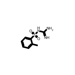 Cc1ccccc1S(=O)(=O)NC(=N)N